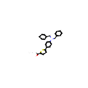 COC(=O)c1ccc(-c2ccc(N(Cc3ccccc3)Cc3ccccc3)cc2)s1